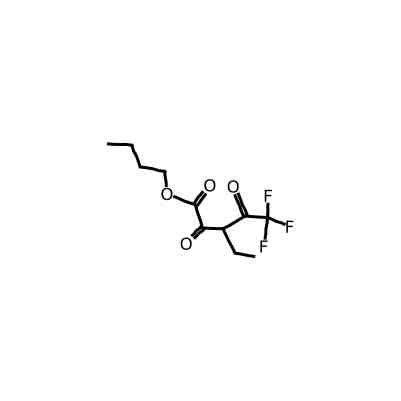 CCCCOC(=O)C(=O)C(CC)C(=O)C(F)(F)F